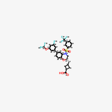 O=C(O)C1CC(C[C@H]2CN(S(=O)(=O)c3cccc(C(F)(F)F)c3)c3cc(-c4cc(F)cc(OC(F)F)c4)ccc3O2)C1